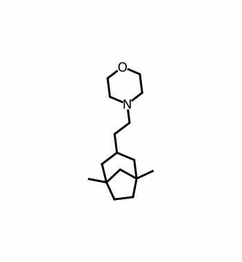 CC12CCC(C)(CC(CCN3CCOCC3)C1)C2